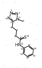 Cn1nnnc1CCCC(=S)Nc1ccccc1